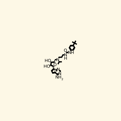 CC(C)N(CCCNC(=O)Nc1ccc(C(C)(C)C)cc1)C[C@H]1O[C@@H](c2ccc3c(N)ncnn23)[C@H](O)[C@@H]1O